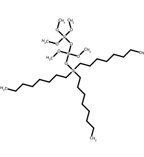 CCCCCCCC[Si](CCCCCCCC)(CCCCCCCC)O[Si](OC)(OC)O[Si](OC)(OC)OC